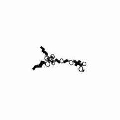 CCCCOP(=O)(OCCCC)OCCOCCOCC(C)(C)C(=O)OC